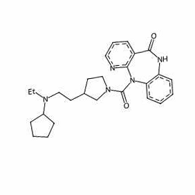 CCN(CCC1CCN(C(=O)N2c3ccccc3NC(=O)c3cccnc32)C1)C1CCCC1